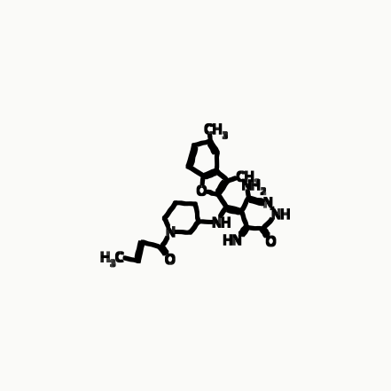 C/C=C/C(=O)N1CCCC(N/C(=C2\C(=N)C(=O)NN=C2N)c2oc3ccc(C)cc3c2C)C1